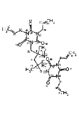 C=CCn1c(=O)n(CC=C)c(=O)n(CC(C)(C)CC(C)(N)Cn2c(=O)n(CC=C)c(=O)n(CC=C)c2=O)c1=O